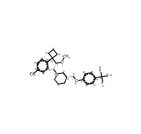 CO[C@H](CN1CCC[C@@H](COc2ccc(C(F)(F)F)cc2)C1)C1(c2ccc(Cl)cc2)CCC1